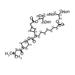 CCCCCCCCCCC(CCCCCCCCCC)COC(=O)CC1CC(N(CCCCCCCC(=O)OCC(CCCCCCCCC)CCCCCCCCC)C(=O)OC2CCN(C(=O)CN(C)C)CC2)C1